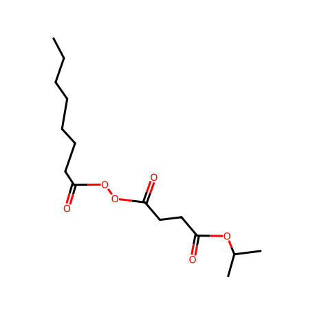 CCCCCCCC(=O)OOC(=O)CCC(=O)OC(C)C